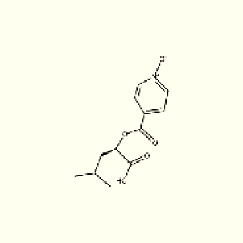 CC(C)C[C@@H](OC(=O)c1cc[n+]([O-])cc1)C(=O)O